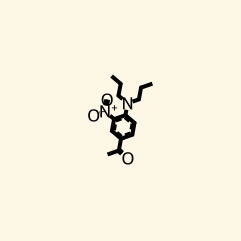 CCCN(CCC)c1ccc(C(C)=O)cc1[N+](=O)[O-]